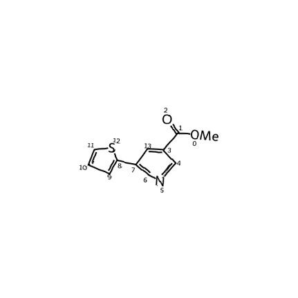 COC(=O)c1cncc(-c2cccs2)c1